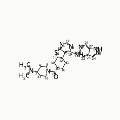 CN(C)C1CCN(C(=O)[C@H]2CCc3c(sc4ncnc(Nc5cc6cn[nH]c6cn5)c34)C2)CC1